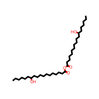 CCCCCCC(O)CCCCCCCCCCC(=O)OC(=O)CCCCCCCCCCC(O)CCCCCC